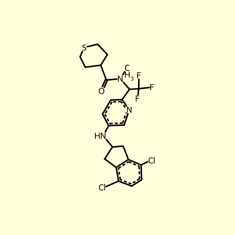 CN(C(=O)C1CCSCC1)C(c1ccc(NC2Cc3c(Cl)ccc(Cl)c3C2)cn1)C(F)(F)F